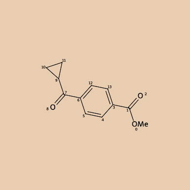 COC(=O)c1ccc(C(=O)C2CC2)cc1